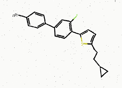 CCCc1ccc(-c2ccc(-c3ccc(CCC4CC4)s3)c(F)c2)cc1